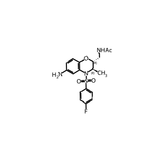 CC(=O)NC[C@H]1Oc2ccc(N)cc2N(S(=O)(=O)c2ccc(F)cc2)[C@@H]1C